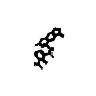 Cc1nc(N[C@H](C)c2cccc(C(F)F)c2F)c2cc3c(cc2n1)ncn3C